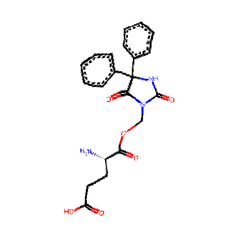 N[C@@H](CCC(=O)O)C(=O)OCN1C(=O)NC(c2ccccc2)(c2ccccc2)C1=O